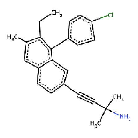 CCc1c(C)cc2ccc(C#CC(C)(C)N)cc2c1-c1ccc(Cl)cc1